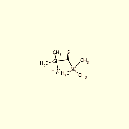 C[Si](C)(C)C(=S)[Si](C)(C)C